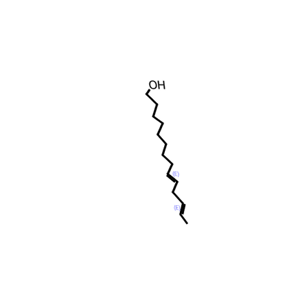 C/C=C/C/C=C/CCCCCCCCO